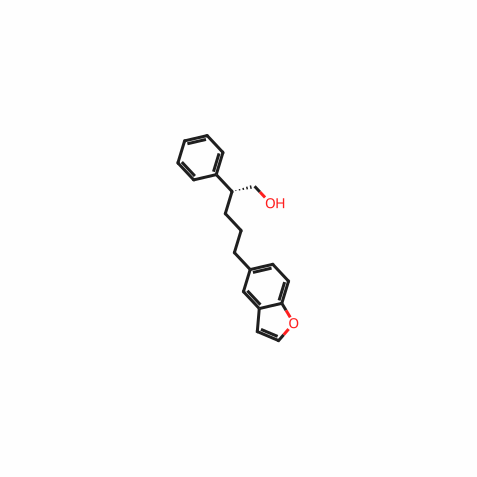 OC[C@H](CCCc1ccc2occc2c1)c1ccccc1